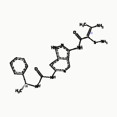 C/C(N)=C(/SN)C(=O)Nc1n[nH]c2cc(NC(=O)N[C@H](C)c3ccccc3)ncc12